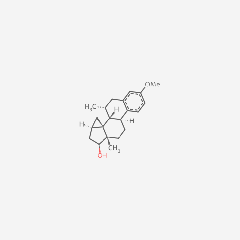 COc1ccc2c(c1)C[C@@H](C)[C@@H]1[C@@H]2CC[C@]2(C)[C@@H](O)C[C@H]3C[C@@]312